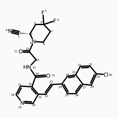 N#C[C@@H]1CC(F)(F)CCN1C(=O)CNC(=O)c1ccncc1/C=C/c1ccc2cc(Cl)ccc2c1